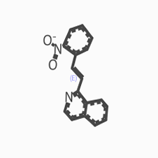 O=[N+]([O-])c1ccccc1/C=C/c1nccc2ccccc12